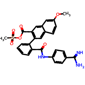 COc1ccc2cc(-c3ccccc3C(=O)Nc3ccc(C(=N)N)cc3)c(C(=O)OS(C)(=O)=O)cc2c1